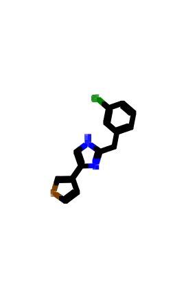 Clc1cccc(Cc2nc(-c3ccsc3)c[nH]2)c1